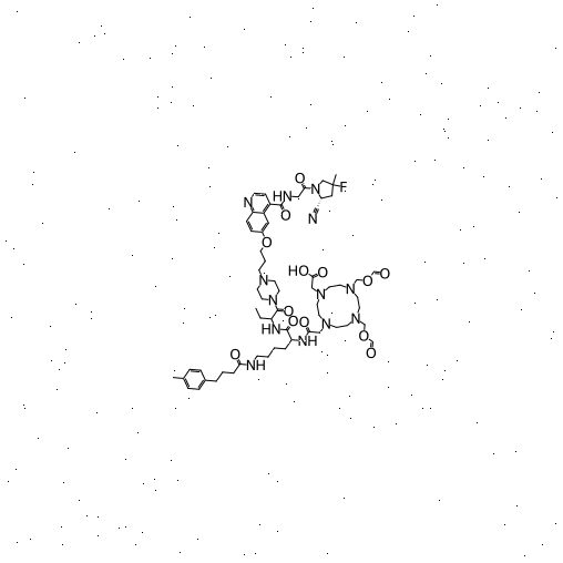 CCC(NC(=O)C(CCCCNC(=O)CCCc1ccc(C)cc1)NC(=O)CN1CCN(COC=O)CCN(COC=O)CCN(CC(=O)O)CC1)C(=O)N1CCN(CCCOc2ccc3nccc(C(=O)NCC(=O)N4CC(C)(F)C[C@@H]4C#N)c3c2)CC1